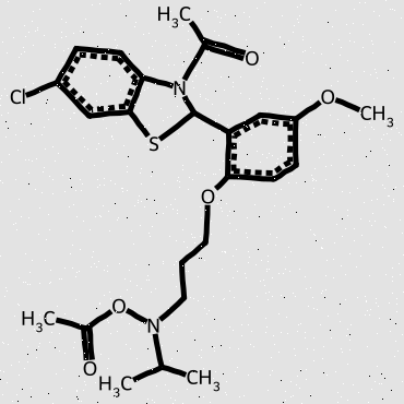 COc1ccc(OCCCN(OC(C)=O)C(C)C)c(C2Sc3cc(Cl)ccc3N2C(C)=O)c1